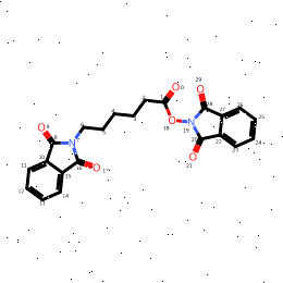 O=C(CCCCCN1C(=O)c2ccccc2C1=O)ON1C(=O)c2ccccc2C1=O